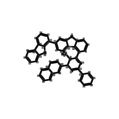 CN1C(c2cccc3oc4cc(-c5cccc6c5oc5ccccc56)cnc4c23)=NC(c2ccccc2)=NC1c1ccc2ccccc2c1